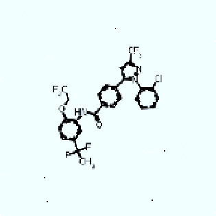 CC(F)(F)c1ccc(OCC(F)(F)F)c(NC(=O)c2ccc(-c3cc(C(F)(F)F)nn3-c3ccccc3Cl)cc2)c1